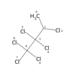 CC(Cl)C(Cl)(Cl)C(Cl)(Cl)Cl